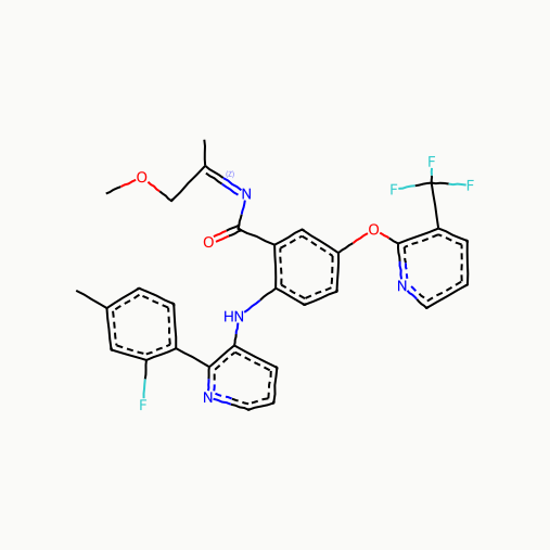 COC/C(C)=N\C(=O)c1cc(Oc2ncccc2C(F)(F)F)ccc1Nc1cccnc1-c1ccc(C)cc1F